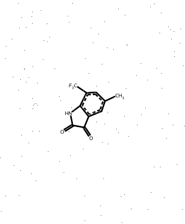 Cc1cc2c(c(C(F)(F)F)c1)NC(=O)C2=O